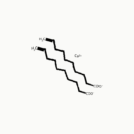 C=CCCCCCCCC(=O)[O-].C=CCCCCCCCC(=O)[O-].[Ca+2]